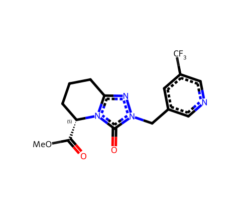 COC(=O)[C@@H]1CCCc2nn(Cc3cncc(C(F)(F)F)c3)c(=O)n21